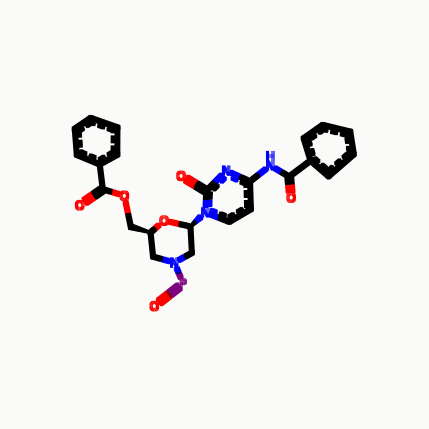 O=PN1C[C@@H](COC(=O)c2ccccc2)O[C@@H](n2ccc(NC(=O)c3ccccc3)nc2=O)C1